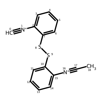 C#[N+]c1ccccc1SSc1ccccc1[N+]#CC